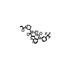 C=CC(=O)N1CCC[C@@H](NC(=O)c2sc3nccc4c3c2NC(=O)N4c2cccc(C(F)(F)F)c2)C1